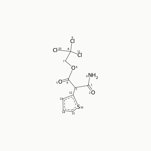 NC(=O)C(C(=O)OCC(Cl)(Cl)Cl)c1cccs1